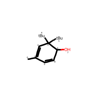 CC1=CC(C(C)(C)C)(C(C)(C)C)C(O)C=C1